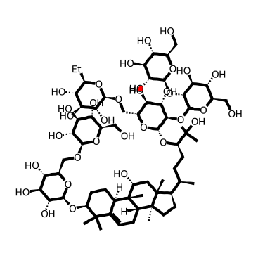 CC[C@H]1O[C@@H](OC[C@H]2O[C@@H](O[C@H](CC[C@@H](C)[C@H]3CC[C@@]4(C)[C@@H]5CC=C6[C@@H](CC[C@H](O[C@@H]7O[C@H](CO[C@@H]8O[C@H](CO)[C@@H](O)[C@H](O)[C@H]8O)[C@@H](O)[C@H](O)[C@H]7O)C6(C)C)[C@]5(C)[C@H](O)C[C@]34C)C(C)(C)O)[C@H](OC3O[C@H](CO)[C@@H](O)[C@H](O)[C@H]3O[C@@H]3O[C@H](CO)[C@@H](O)[C@H](O)[C@H]3O)[C@@H](O)[C@@H]2O)[C@H](O)[C@@H](O)[C@@H]1O